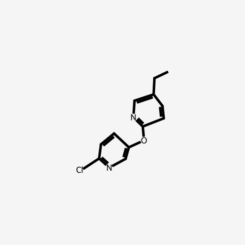 CCc1ccc(Oc2ccc(Cl)nc2)nc1